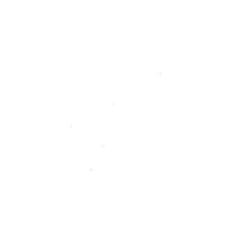 COC(=O)c1ccc(-c2cccc(O[C@H]3OC(CO)[C@@H](O)[C@H](O)C3O)c2)cc1